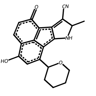 CC1Nc2c(c3c(=O)ccc4c(O)cc(C5CCCCO5)c2c4=3)=C1C#N